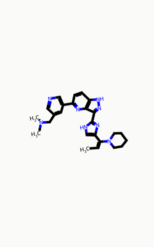 C/C=C(\c1c[nH]c(-c2n[nH]c3ccc(-c4cncc(CN(C)C)c4)nc23)n1)N1CCCCC1